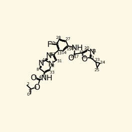 CC(C)OC(=O)Nc1cnc2nc(-c3cc(NC(=O)c4cnc(C5CC5)o4)ccc3F)cn2c1